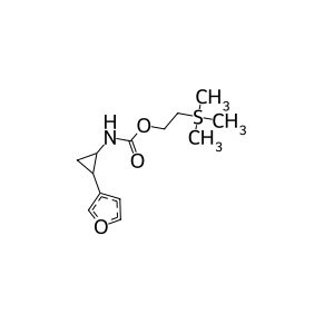 CS(C)(C)CCOC(=O)NC1CC1c1ccoc1